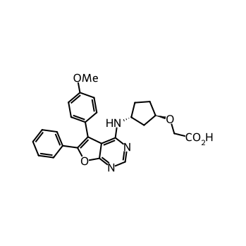 COc1ccc(-c2c(-c3ccccc3)oc3ncnc(N[C@@H]4CC[C@@H](OCC(=O)O)C4)c23)cc1